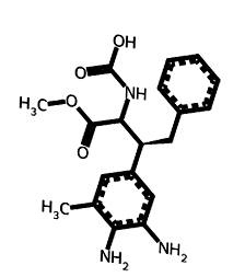 COC(=O)C(NC(=O)O)[C@@H](Cc1ccccc1)c1cc(C)c(N)c(N)c1